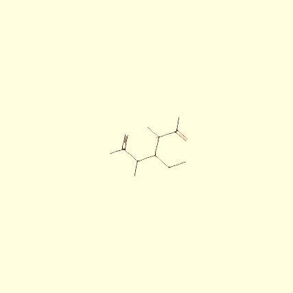 [CH2]CC(C(F)C(=O)O)C(F)C(=O)O